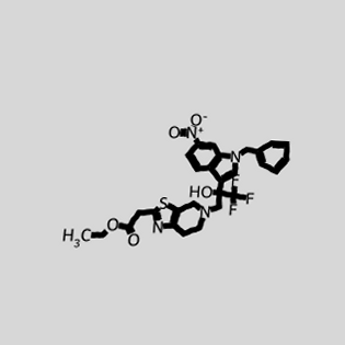 CCOC(=O)Cc1nc2c(s1)CN(CC(O)(c1cn(Cc3ccccc3)c3cc([N+](=O)[O-])ccc13)C(F)(F)F)CC2